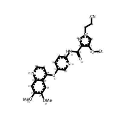 CCOc1cn(CCC#N)nc1C(=O)Nc1ccc(Oc2ccnc3cc(OC)c(OC)cc23)cn1